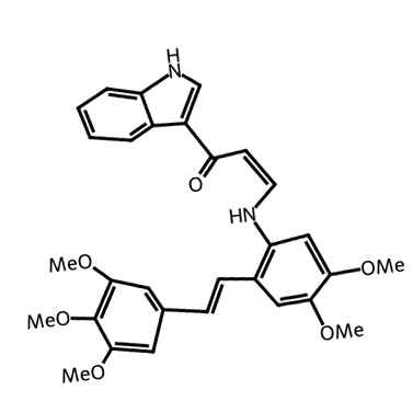 COc1cc(/C=C/c2cc(OC)c(OC)c(OC)c2)c(N/C=C\C(=O)c2c[nH]c3ccccc23)cc1OC